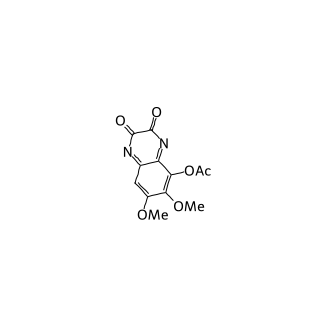 COc1cc2c(c(OC(C)=O)c1OC)=NC(=O)C(=O)N=2